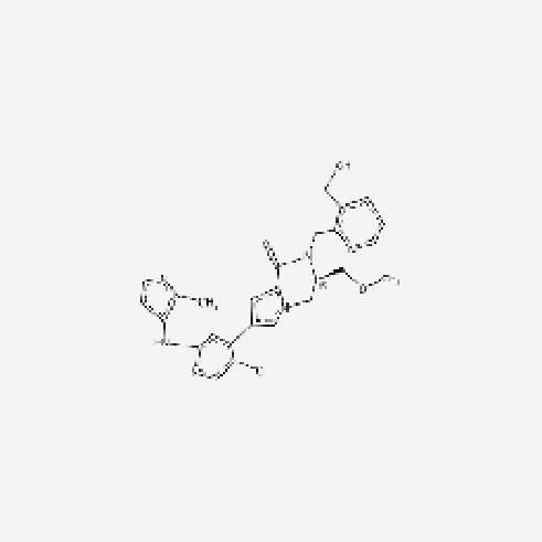 COC[C@H]1Cn2cc(-c3cc(Nc4ccnn4C)ncc3Cl)cc2C(=O)N1Cc1ncccc1CO